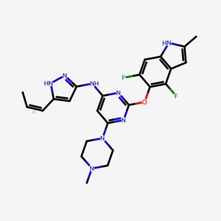 C/C=C\c1cc(Nc2cc(N3CCN(C)CC3)nc(Oc3c(F)cc4[nH]c(C)cc4c3F)n2)n[nH]1